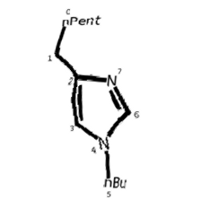 CCCCCCc1cn(CCCC)cn1